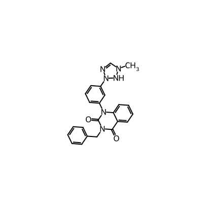 CN1C=NN(c2cccc(-n3c(=O)n(Cc4ccccc4)c(=O)c4ccccc43)c2)N1